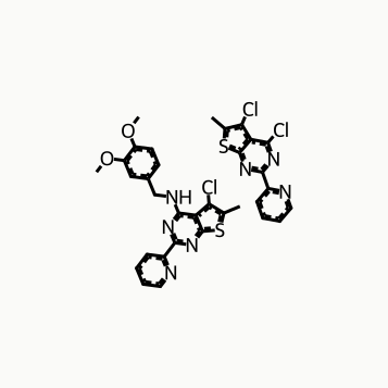 COc1ccc(CNc2nc(-c3ccccn3)nc3sc(C)c(Cl)c23)cc1OC.Cc1sc2nc(-c3ccccn3)nc(Cl)c2c1Cl